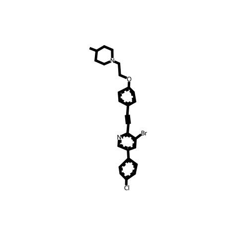 CC1CCN(CCOc2ccc(C#Cc3ncc(-c4ccc(Cl)cc4)cc3Br)cc2)CC1